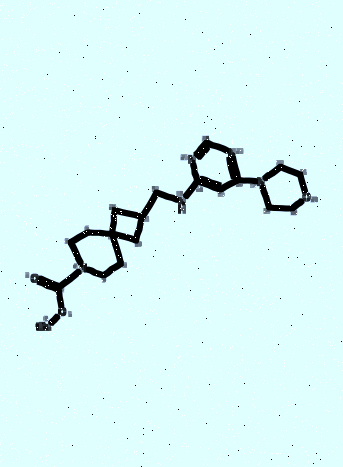 CC(C)(C)OC(=O)N1CCC2(CC1)CC(CNc1cc(N3CCOCC3)ncn1)C2